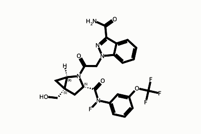 NC(=O)c1nn(CC(=O)N2[C@H](C(=O)N(F)c3cccc(OC(F)(F)F)c3)C[C@@]3(CO)C[C@@H]23)c2ccccc12